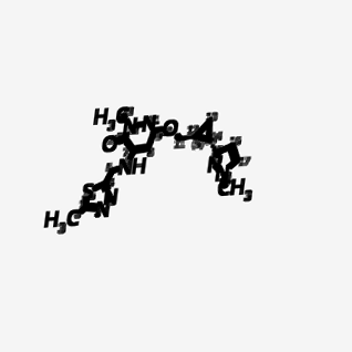 Cc1nnc(CNc2cc(OC[C@H]3C[C@@H]3c3ccn(C)n3)nn(C)c2=O)s1